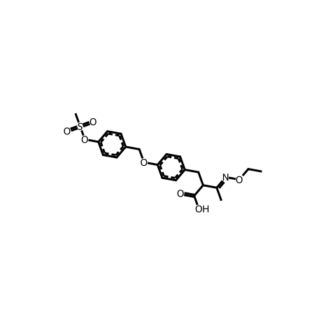 CCON=C(C)C(Cc1ccc(OCc2ccc(OS(C)(=O)=O)cc2)cc1)C(=O)O